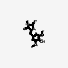 COc1cc(/C=C2\SC(=S)N(C)C2=O)cc(OC)c1O